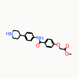 COC(=O)COc1ccc(C(=O)Nc2ccc(C3CCNCC3)cc2)cc1